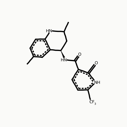 Cc1ccc2c(c1)[C@H](NC(=O)c1ccc(C(F)(F)F)[nH]c1=O)CC(C)N2